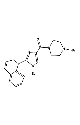 CCn1cc(C(=O)N2CCN(C(C)C)CC2)nc1C1CC=Cc2ccccc21